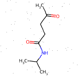 CC(=O)CCC(=O)NC(C)C